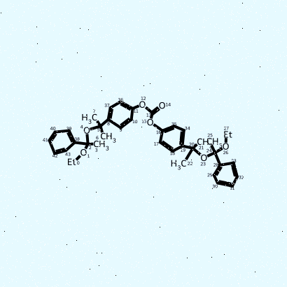 CCOC(C)(OC(C)(C)c1ccc(OC(=O)Oc2ccc(C(C)(C)OC(C)(OCC)c3ccccc3)cc2)cc1)c1ccccc1